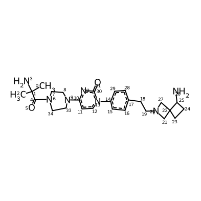 CC(C)(N)C(=O)N1CCN(c2ccn(-c3ccc(CCN4CC5(CCC5N)C4)cc3)c(=O)n2)CC1